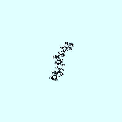 CCS(=O)(=O)c1ccc(CC(=O)Nc2nc3c(s2)CC(C(=O)Nc2ccncc2)CC3)cc1